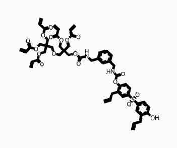 C=CCc1cc(S(=O)(=O)c2ccc(OC(=O)NCc3cccc(CNC(=O)OCC(COCC(COC(=O)C=C)(COC(=O)C=C)COC(=O)C=C)(COC(=O)C=C)COC(=O)C=C)c3)c(CC=C)c2)ccc1O